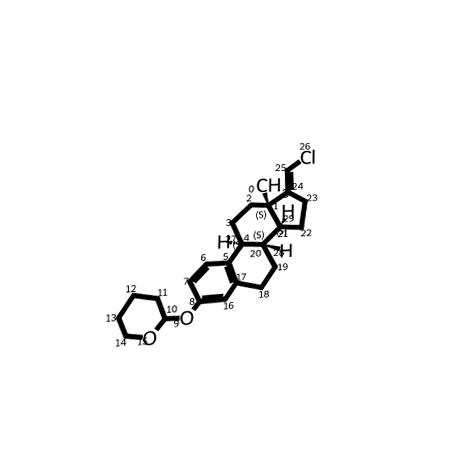 C[C@]12CC[C@@H]3c4ccc(OC5CCCCO5)cc4CC[C@H]3[C@@H]1CCC2=CCl